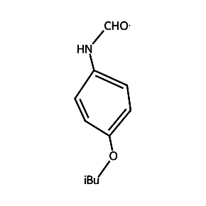 CCC(C)Oc1ccc(N[C]=O)cc1